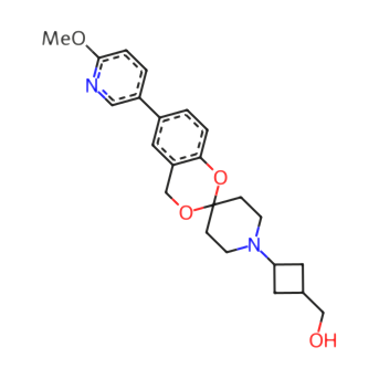 COc1ccc(-c2ccc3c(c2)COC2(CCN(C4CC(CO)C4)CC2)O3)cn1